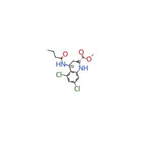 CCCC(=O)N[C@H]1C[C@H](C(=O)OC)Nc2cc(Cl)cc(Cl)c21